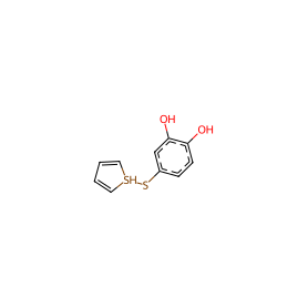 Oc1ccc(S[SH]2C=CC=C2)cc1O